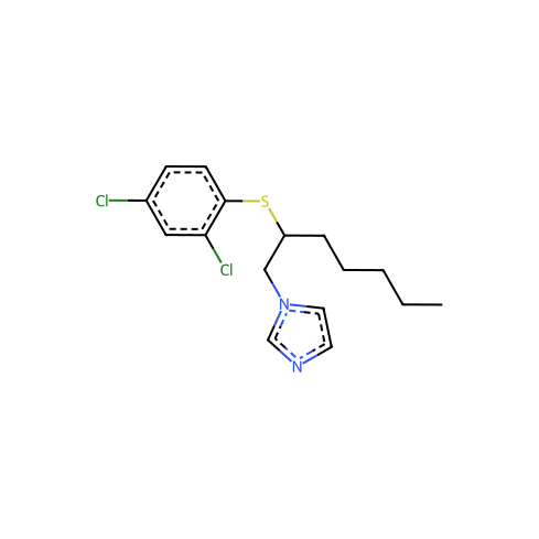 CCCCCC(Cn1ccnc1)Sc1ccc(Cl)cc1Cl